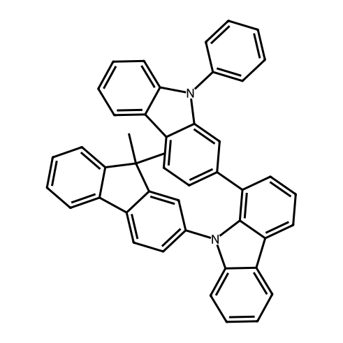 CC1(C)c2ccccc2-c2ccc(-n3c4ccccc4c4cccc(-c5ccc6c7ccccc7n(-c7ccccc7)c6c5)c43)cc21